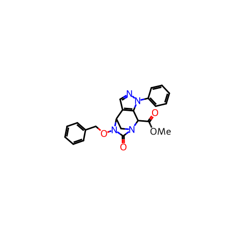 COC(=O)C1c2c(cnn2-c2ccccc2)C2CN1C(=O)N2OCc1ccccc1